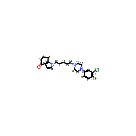 O=C1CCCc2c1ccn2CCCCCN1CCN(c2ccc(F)c(Cl)c2)CC1